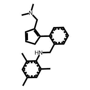 Cc1cc(C)c(NCc2ccccc2C2=C(CN(C)C)C=CC2)c(C)c1